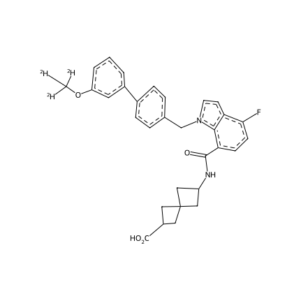 [2H]C([2H])([2H])Oc1cccc(-c2ccc(Cn3ccc4c(F)ccc(C(=O)NC5CC6(C5)CC(C(=O)O)C6)c43)cc2)c1